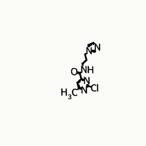 Cc1cc(C(=O)NCCCn2ccnc2)nc(Cl)n1